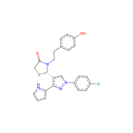 O=C1CS[C@@H](c2cn(-c3ccc(F)cc3)nc2-c2ccc[nH]2)N1CCc1ccc(O)cc1